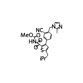 COC(=O)NS(=O)(=O)c1sc(CC(C)C)cc1-c1ccc(Cn2ccnc2C)c(C#N)c1